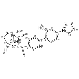 C=C(c1cnc(-c2ccc(-n3ccnc3)cc2O)cn1)[C@@H]1C[C@H]2CC[C@H](N2)[C@@H]1F